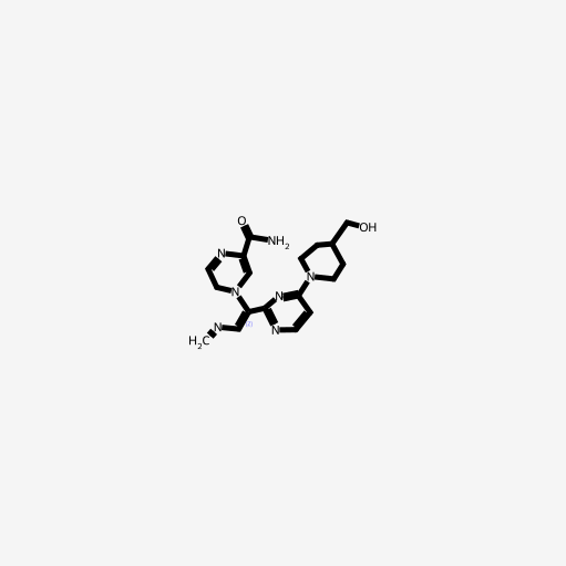 C=N/C=C(/c1nccc(N2CCC(CO)CC2)n1)N1C=C(C(N)=O)N=CC1